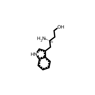 N[C@H](CCO)Cc1c[nH]c2ccccc12